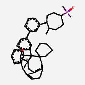 CC1CCC(P(C)(C)=O)CCC1c1cccc(-c2ccc3c(c2)C2(c4ccccc4)C4(CCCCC4)C4C=C5C[C@]2(C)C3CC5=CCC4)c1